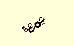 C=NO[C@@H]1CCN(c2ccc(C(F)(F)F)cc2)C1=O